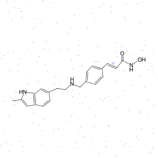 Cc1cc2ccc(CCNCc3ccc(/C=C/C(=O)NO)cc3)cc2[nH]1